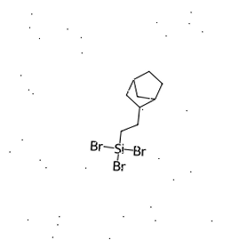 Br[Si](Br)(Br)CCC1CC2CCC1C2